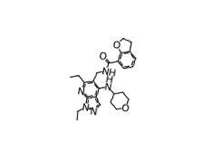 CCc1nc2c(cnn2CC)c(NC2CCOCC2)c1CNC(=O)c1cccc2c1OCC2